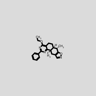 CCOc1nc(-c2ccccc2)nc2c1CC[C@H]1[C@H](C)c3oncc3C[C@]21C